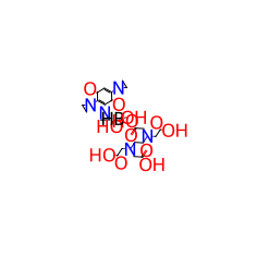 O=C(O)CN(CCN(CC(=O)O)CC(=O)O)CC(=O)O.O=C1C=C(N2CC2)C(=O)C(N2CC2)=C1N1CC1.OBO